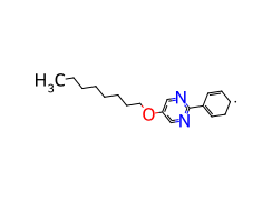 CCCCCCCCOc1cnc(C2=CC[CH]C=C2)nc1